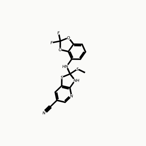 CSC1(Nc2cccc3c2OC(F)(F)O3)Nc2ncc(C#N)cc2S1